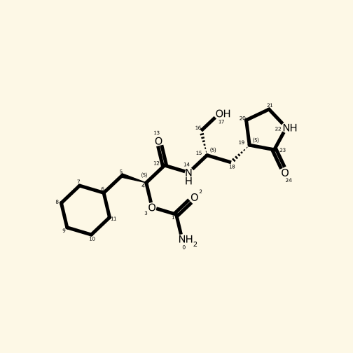 NC(=O)O[C@@H](CC1CCCCC1)C(=O)N[C@H](CO)C[C@@H]1CCNC1=O